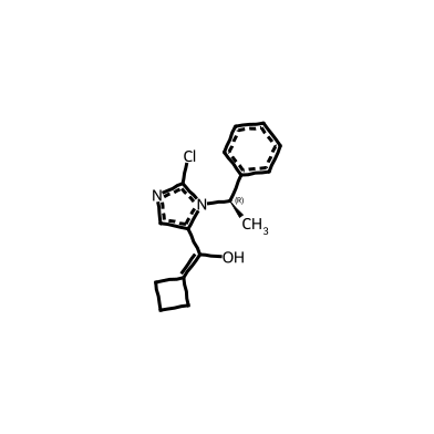 C[C@H](c1ccccc1)n1c(C(O)=C2CCC2)cnc1Cl